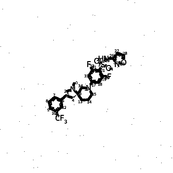 CN(C)[C@]1(CCc2cccc(C(F)(F)F)c2)CCCN(c2cc(F)c(S(=O)(=O)Nc3ccon3)c(F)c2)C1